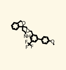 COc1ccc(-c2cc(COCC3(CCN)OCc4ccccc43)cc(C(F)(F)F)c2)cc1